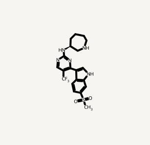 CS(=O)(=O)c1ccc2c(-c3nc(N[C@H]4CCCCNC4)ncc3C(F)(F)F)c[nH]c2c1